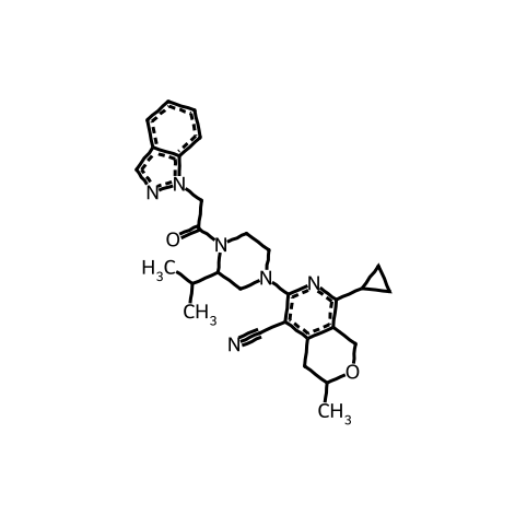 CC1Cc2c(C#N)c(N3CCN(C(=O)Cn4ncc5ccccc54)C(C(C)C)C3)nc(C3CC3)c2CO1